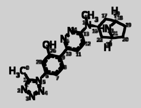 Cc1nnnn1-c1ccc(-c2ccc(N(C)[C@H]3C[C@H]4CC[C@@H](C3)N4)nn2)c(O)c1